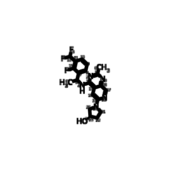 Cc1nc(NC(C)c2cccc(C(F)F)c2F)c2cc(N3CC[C@H](O)C3)ncc2n1